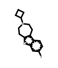 Fc1ccc2c3c(oc2c1)CCN(C1CCC1)CC3